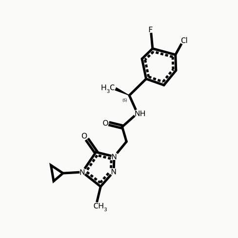 Cc1nn(CC(=O)N[C@@H](C)c2ccc(Cl)c(F)c2)c(=O)n1C1CC1